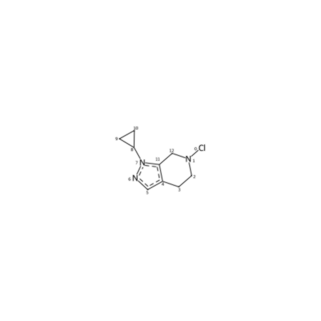 ClN1CCc2cnn(C3CC3)c2C1